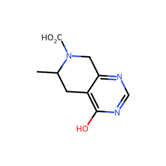 CC1Cc2c(O)ncnc2CN1C(=O)O